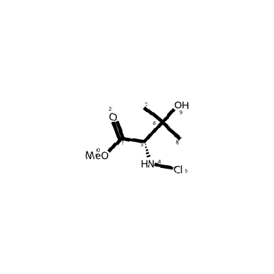 COC(=O)[C@@H](NCl)C(C)(C)O